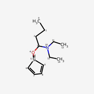 CCCC(O[SiH]1C=CC=C1)N(CC)CC